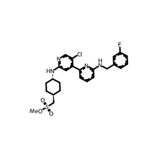 COS(=O)(=O)C[C@H]1CC[C@H](Nc2cc(-c3cccc(NCc4cccc(F)c4)n3)c(Cl)cn2)CC1